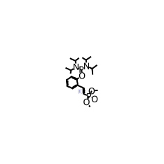 COP(=O)(/C=C/c1ccccc1OP(N(C(C)C)C(C)C)N(C(C)C)C(C)C)OC